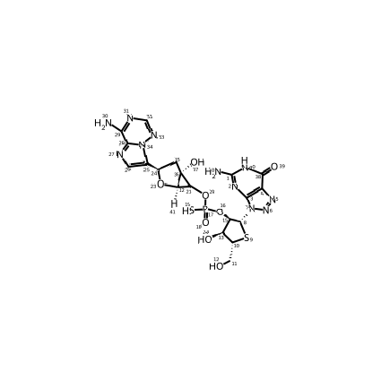 Nc1nc2c(nnn2[C@@H]2S[C@H](CO)[C@@H](O)[C@H]2OP(=O)(S)OC2[C@H]3O[C@@H](c4cnc5c(N)ncnn45)C[C@@]23O)c(=O)[nH]1